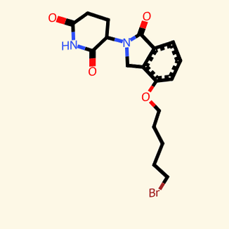 O=C1CCC(N2Cc3c(OCCCCCBr)cccc3C2=O)C(=O)N1